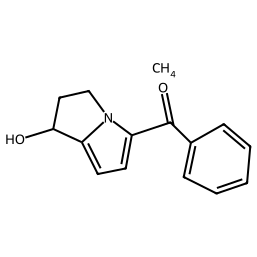 C.O=C(c1ccccc1)c1ccc2n1CCC2O